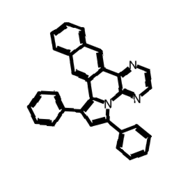 c1ccc(-c2cc(-c3ccccc3)n3c4nccnc4c4cc5ccccc5cc4c23)cc1